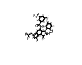 O=C(Nc1cc2c(c(F)nn2CC(F)F)c2c1[C@@H](c1cc(F)ccc1Cl)NC2=O)c1cc(F)cc(C(F)(F)F)c1